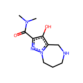 CN(C)C(=O)c1nn2c(c1O)CNCCC2